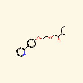 CCC(C)C(=O)COCCOc1ccc(-c2ccccn2)cc1